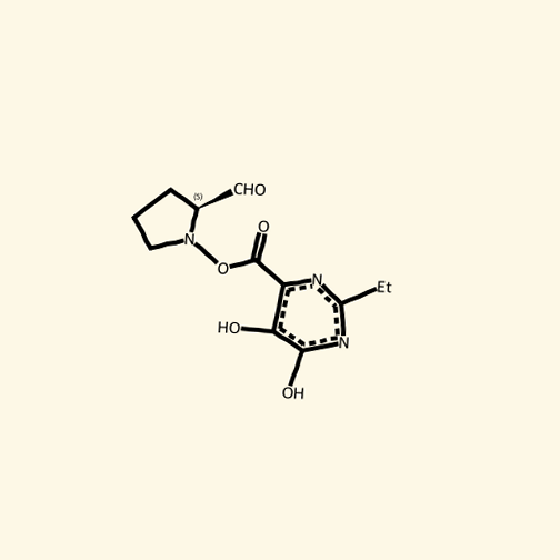 CCc1nc(O)c(O)c(C(=O)ON2CCC[C@H]2C=O)n1